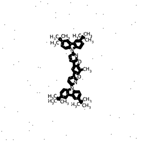 Cc1c2oc3nc(-n4c5ccc(C(C)(C)C)cc5c5cc(C(C)(C)C)ccc54)ccc3c2cc2c1oc1nc(-n3c4ccc(C(C)(C)C)cc4c4cc(C(C)(C)C)ccc43)ccc12